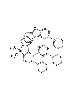 C[Si]1(C)c2ccccc2-c2c1ccc(-c1ccccc1)c2-c1nc(-c2ccccc2)nc(-c2c(-c3ccccc3)ccc3oc4ccccc4c23)n1